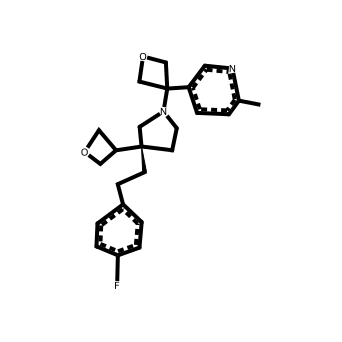 Cc1ccc(C2(N3CC[C@](CCc4ccc(F)cc4)(C4COC4)C3)COC2)cn1